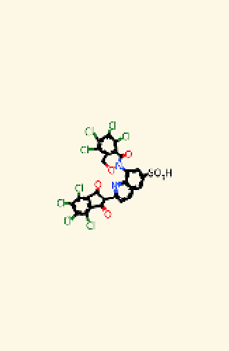 O=C1c2c(Cl)c(Cl)c(Cl)c(Cl)c2C(=O)C1c1ccc2cc(S(=O)(=O)O)cc(N3OCc4c(Cl)c(Cl)c(Cl)c(Cl)c4C3=O)c2n1